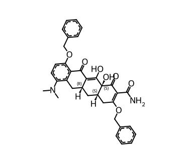 CN(C)c1ccc(OCc2ccccc2)c2c1C[C@H]1C[C@H]3CC(OCc4ccccc4)=C(C(N)=O)C(=O)[C@@]3(O)C(O)=C1C2=O